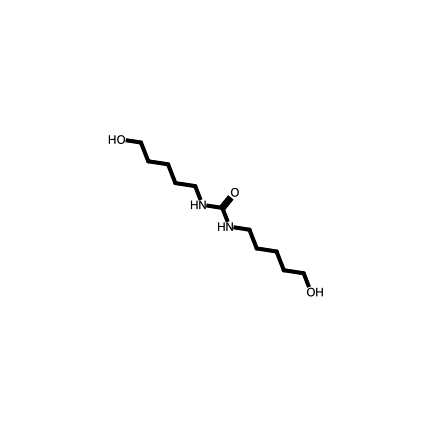 O=C(NCCCCCO)NCCCCCO